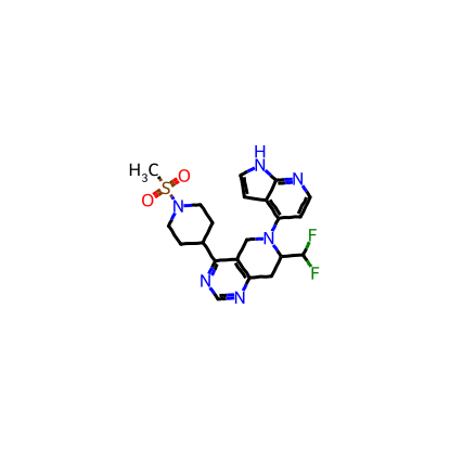 CS(=O)(=O)N1CCC(c2ncnc3c2CN(c2ccnc4[nH]ccc24)C(C(F)F)C3)CC1